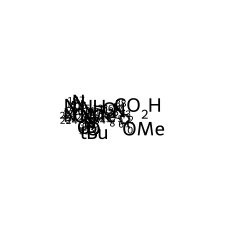 COc1ccc2c(c1)[C@]1(C[C@H]1c1ccc3c(Nc4ncnc(N5CCC5)c4OC)nn(C(=O)OC(C)(C)C)c3c1)C(=O)N2C(=O)O